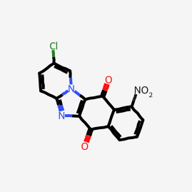 O=C1c2cccc([N+](=O)[O-])c2C(=O)c2c1nc1ccc(Cl)cn21